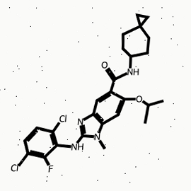 CC(C)Oc1cc2c(cc1C(=O)NC1CCC3(CC1)CC3)nc(Nc1c(Cl)ccc(Cl)c1F)n2C